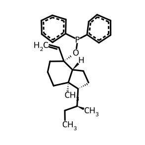 C=C[C@]1(OP(c2ccccc2)c2ccccc2)CCC[C@]2(C)[C@@H]([C@@H](C)CC)CC[C@H]21